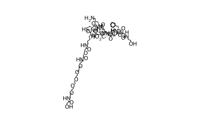 CSCC(=O)N(C)[C@@H](CCCCNC(=O)COCC(=O)NCCOCCOCCOCCOCCOCCNC(=O)CO)C(=O)N[C@@H](CS)C(=O)N[C@@H](CCCN)C(=O)NCC(=O)N[C@@H](CC(=O)O)C(=O)N[C@@H](C)C(=O)N[C@@H](Cc1ccccc1)C(=O)NCC(=O)NCCO